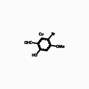 COc1cc(O)c(C=O)cc1Br.[Cu]